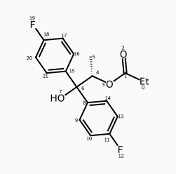 CCC(=O)O[C@@H](C)C(O)(c1ccc(F)cc1)c1ccc(F)cc1